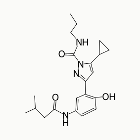 CCCNC(=O)n1nc(-c2cc(NC(=O)CC(C)C)ccc2O)cc1C1CC1